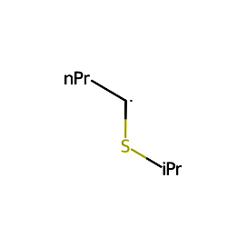 CCC[CH]SC(C)C